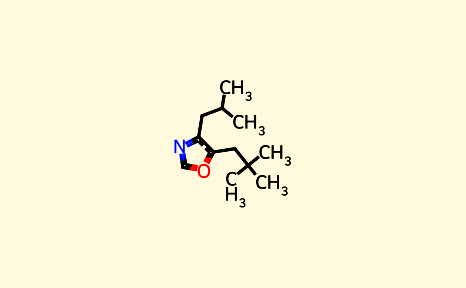 CC(C)Cc1ncoc1CC(C)(C)C